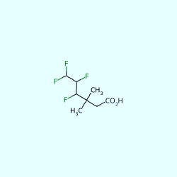 CC(C)(CC(=O)O)C(F)C(F)C(F)F